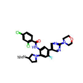 CNC1CCN(c2cc(F)c(-c3cnc(N4CCOCC4)nc3)cc2NC(=O)c2ccc(Cl)cc2Cl)C1